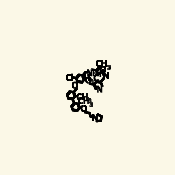 Cc1noc(C)c1CNCc1cc(Cl)c(OCc2cccc(-c3cccc(OCCCN4CCCC4)c3C)c2C)cc1OCc1cncc(C#N)c1